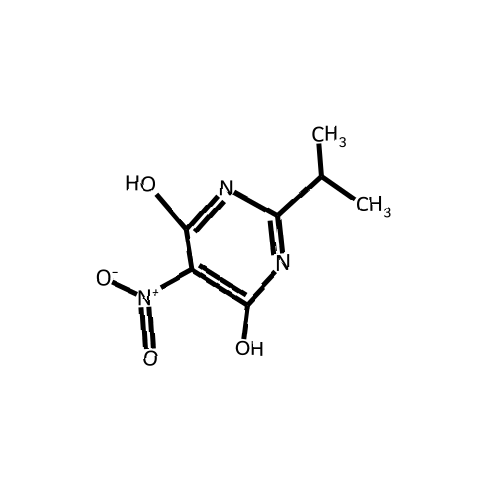 CC(C)c1nc(O)c([N+](=O)[O-])c(O)n1